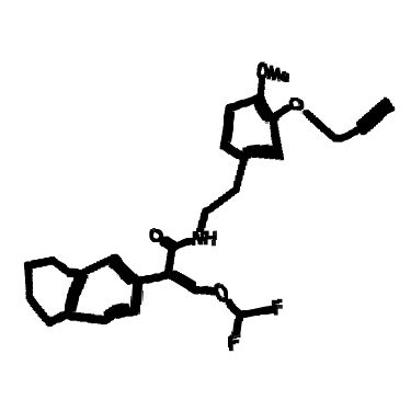 C#CCOc1cc(CCNC(=O)C(=COC(F)F)c2ccc3c(c2)CCCC3)ccc1OC